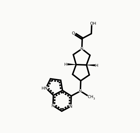 CN(c1ncnc2[nH]ccc12)C1C[C@@H]2CN(C(=O)CO)C[C@@H]2C1